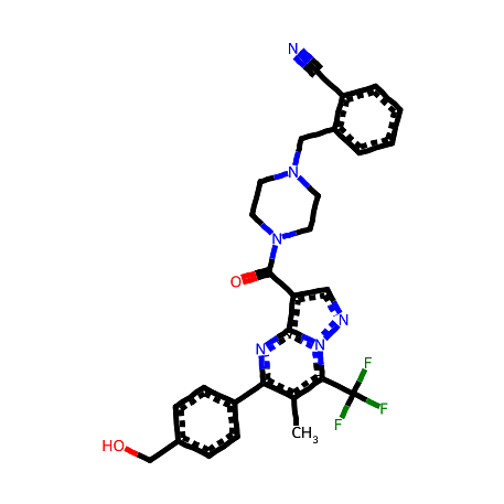 Cc1c(-c2ccc(CO)cc2)nc2c(C(=O)N3CCN(Cc4ccccc4C#N)CC3)cnn2c1C(F)(F)F